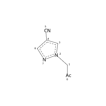 CC(=O)Cn1cc(C#N)cn1